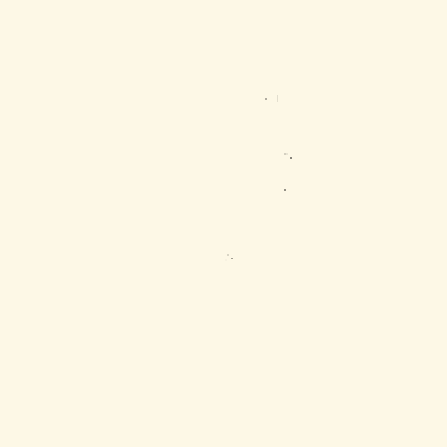 Nc1cc2cc(N(CCO)CCO)ccn2n1